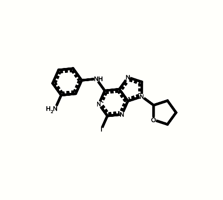 Nc1cccc(Nc2nc(I)nc3c2ncn3C2CCCO2)c1